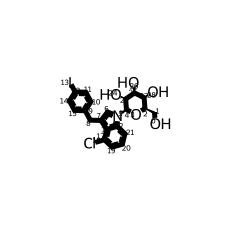 OC[C@H]1O[C@@H](n2cc(Cc3ccc(I)cc3)c3c(Cl)cccc32)[C@H](O)[C@@H](O)[C@@H]1O